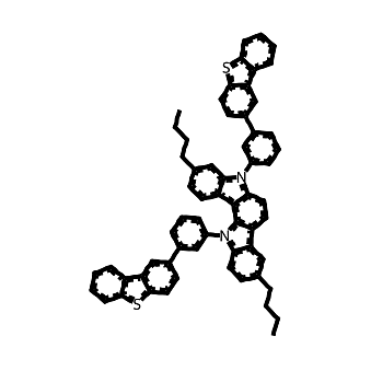 CCCCc1ccc2c(c1)c1ccc3c(c4ccc(CCCC)cc4n3-c3cccc(-c4ccc5sc6ccccc6c5c4)c3)c1n2-c1cccc(-c2ccc3sc4ccccc4c3c2)c1